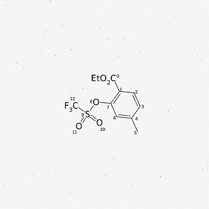 CCOC(=O)c1ccc(C)cc1OS(=O)(=O)C(F)(F)F